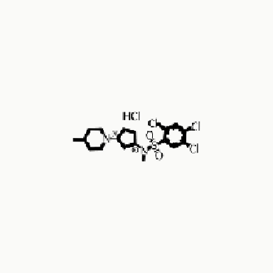 CC1CCN([C@H]2CC[C@@H](N(C)S(=O)(=O)c3cc(Cl)c(Cl)cc3Cl)C2)CC1.Cl